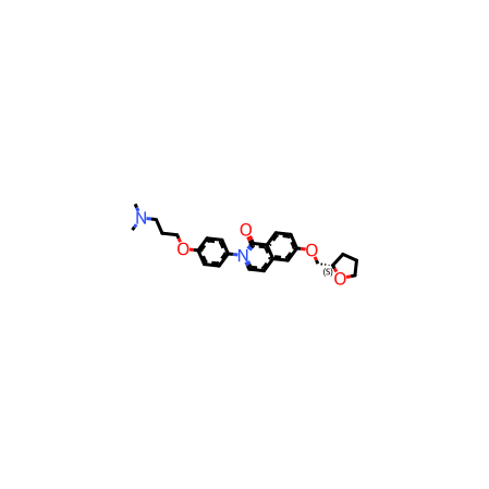 CN(C)CCCOc1ccc(-n2ccc3cc(OC[C@@H]4CCCO4)ccc3c2=O)cc1